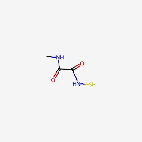 CNC(=O)C(=O)NS